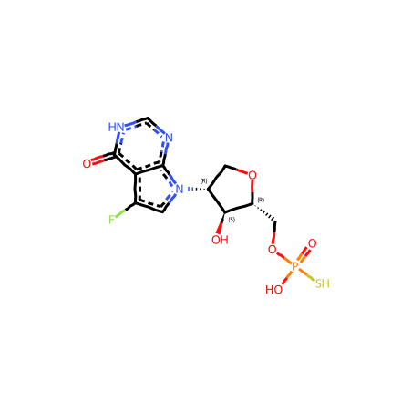 O=c1[nH]cnc2c1c(F)cn2[C@@H]1CO[C@H](COP(=O)(O)S)[C@H]1O